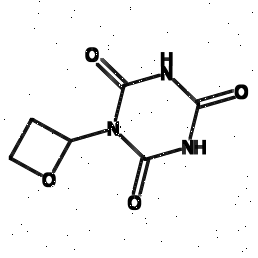 O=c1[nH]c(=O)n(C2CCO2)c(=O)[nH]1